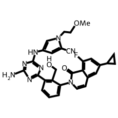 COCCn1cc(Nc2nc(N)nc(-c3cccc(-n4ccc5cc(C6CC6)cc(F)c5c4=O)c3CO)n2)cc1C#N